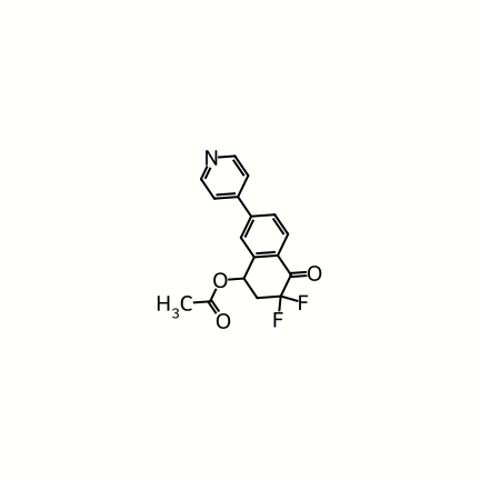 CC(=O)OC1CC(F)(F)C(=O)c2ccc(-c3ccncc3)cc21